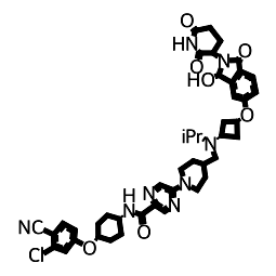 CC(C)N(CC1CCN(c2cnc(C(=O)N[C@H]3CC[C@H](Oc4ccc(C#N)c(Cl)c4)CC3)cn2)CC1)[C@H]1C[C@H](Oc2ccc3c(c2)C(O)N(C2CCC(=O)NC2=O)C3=O)C1